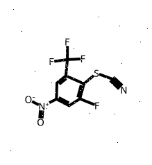 N#CSc1c(F)cc([N+](=O)[O-])cc1C(F)(F)F